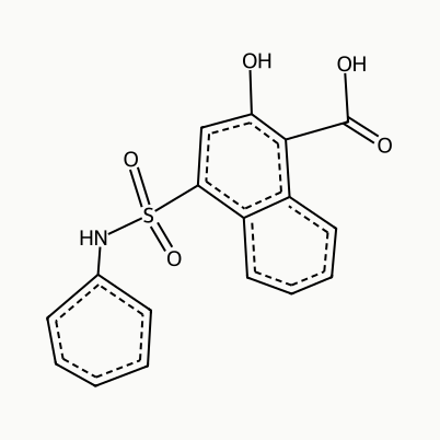 O=C(O)c1c(O)cc(S(=O)(=O)Nc2ccccc2)c2ccccc12